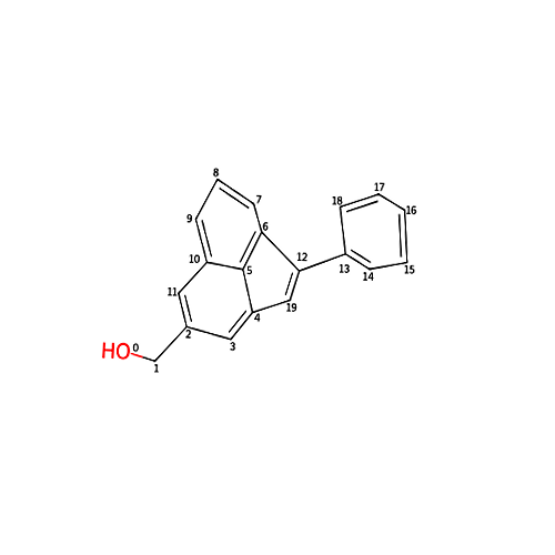 OCc1cc2c3c(cccc3c1)C(c1ccccc1)=C2